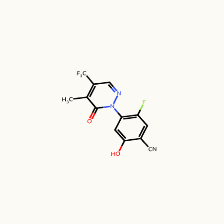 Cc1c(C(F)(F)F)cnn(-c2cc(O)c(C#N)cc2F)c1=O